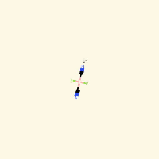 N#C[B-](F)(F)C#N.[Li+]